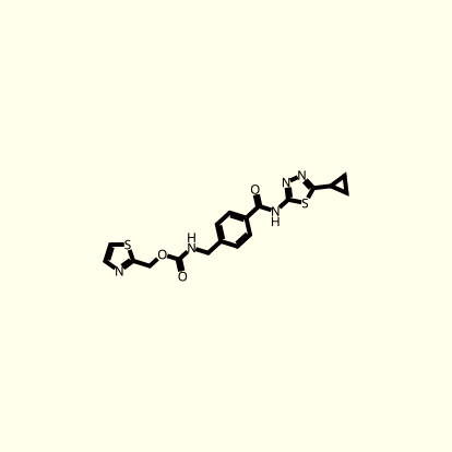 O=C(NCc1ccc(C(=O)Nc2nnc(C3CC3)s2)cc1)OCc1nccs1